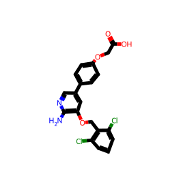 Nc1ncc(-c2ccc(OCC(=O)O)cc2)cc1OCc1c(Cl)cccc1Cl